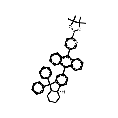 CC1(C)OB(c2ccc(-c3c4ccccc4c(-c4ccc5c(c4)C(c4ccccc4)(c4ccccc4)C4CCCC[C@H]54)c4ccccc34)cn2)OC1(C)C